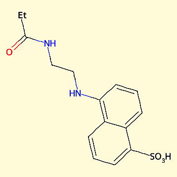 CCC(=O)NCCNc1cccc2c(S(=O)(=O)O)cccc12